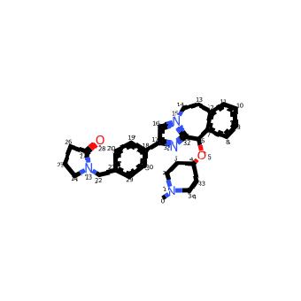 CN1CCC(OC2c3ccccc3CCn3cc(-c4ccc(CN5CCCC5=O)cc4)nc32)CC1